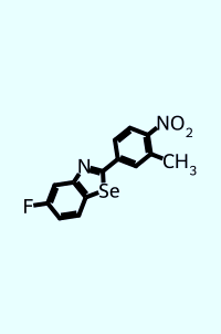 Cc1cc(-c2nc3cc(F)ccc3[se]2)ccc1[N+](=O)[O-]